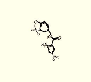 Nn1cc([N+](=O)[O-])cc1C(=O)NCc1ccc(Cl)c(C(F)(F)F)c1